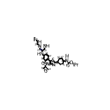 CC(C)OC(=O)NC1CCC(c2ncc(-c3ccc(N/C(C=N)=C/NCCF)cc3S(=N)(=O)C3COC3)s2)CC1